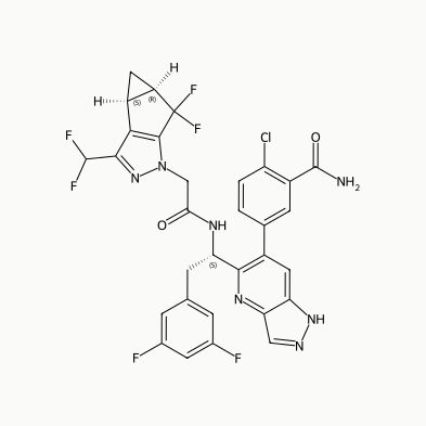 NC(=O)c1cc(-c2cc3[nH]ncc3nc2[C@H](Cc2cc(F)cc(F)c2)NC(=O)Cn2nc(C(F)F)c3c2C(F)(F)[C@@H]2C[C@H]32)ccc1Cl